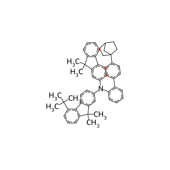 CC(C)(C)c1cccc2c1-c1ccc(N(c3ccc4c(c3)C(C)(C)c3ccccc3-4)c3ccccc3-c3ccc(C45CCC(CC4)C5)cc3)cc1C2(C)C